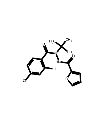 CC(C)(C)N(NC(=O)c1ccco1)C(=O)c1ccc(Cl)cc1Cl